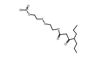 CCCC(CCC)C(=O)CC(=O)OCCSSCCO[N+](=O)[O-]